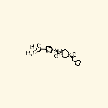 CCC(C)c1ccc(NC(=O)N2CCCN(C(=O)CC3CCCC3)CC2)cc1